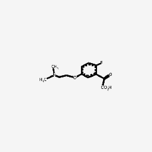 CN(C)CCOc1ccc(F)c(C(=O)C(=O)O)c1